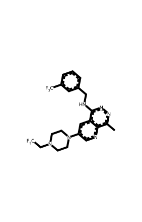 Cc1nnc(NCc2cccc(C(F)(F)F)c2)c2cc(N3CCN(CC(F)(F)F)CC3)cnc12